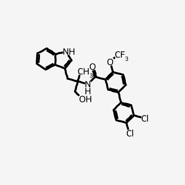 CC(CO)(Cc1c[nH]c2ccccc12)NC(=O)c1cc(-c2ccc(Cl)c(Cl)c2)ccc1OC(F)(F)F